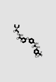 CCN(CC)C(=O)CONC(=O)c1cc(Oc2ccc(NC(=O)Nc3ccc(Cl)c(C(F)(F)F)c3)cc2)ccn1